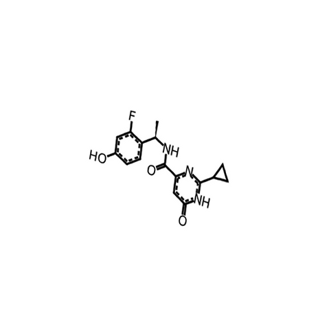 C[C@@H](NC(=O)c1cc(=O)[nH]c(C2CC2)n1)c1ccc(O)cc1F